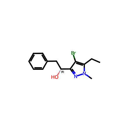 CCc1c(Br)c([C@H](O)Cc2ccccc2)nn1C